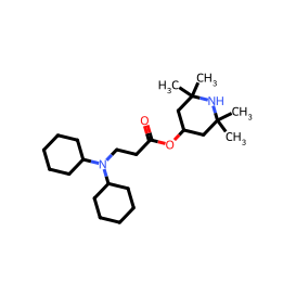 CC1(C)CC(OC(=O)CCN(C2CCCCC2)C2CCCCC2)CC(C)(C)N1